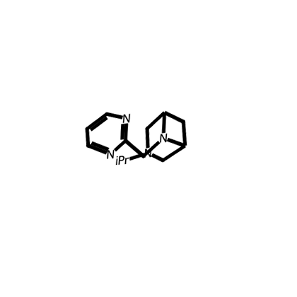 CC(C)N1CC2CC(C1)N2Cc1ncccn1